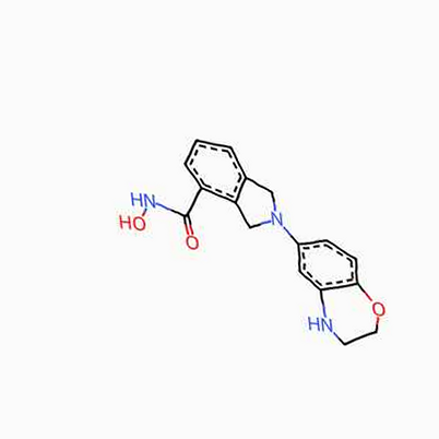 O=C(NO)c1cccc2c1CN(c1ccc3c(c1)NCCO3)C2